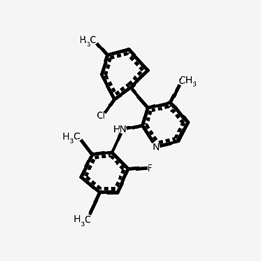 Cc1cc(C)c(Nc2nccc(C)c2-c2ccc(C)cc2Cl)c(F)c1